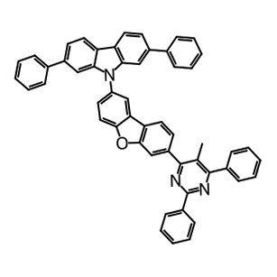 Cc1c(-c2ccccc2)nc(-c2ccccc2)nc1-c1ccc2c(c1)oc1ccc(-n3c4cc(-c5ccccc5)ccc4c4ccc(-c5ccccc5)cc43)cc12